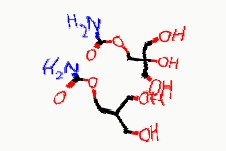 NC(=O)OCC(CO)CO.NC(=O)OCC(O)(CO)CO